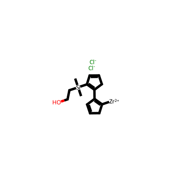 C[Si](C)(CCO)C1=C(C2=[C]([Zr+2])CC=C2)CC=C1.[Cl-].[Cl-]